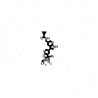 CC(C)C(N)(C(=O)NCC(F)(F)F)c1cncc(-c2c[nH]c3ncc(CNC(=O)C4CC4)cc23)c1